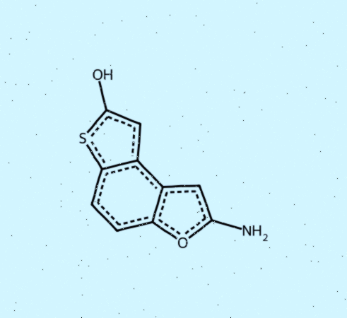 Nc1cc2c(ccc3sc(O)cc32)o1